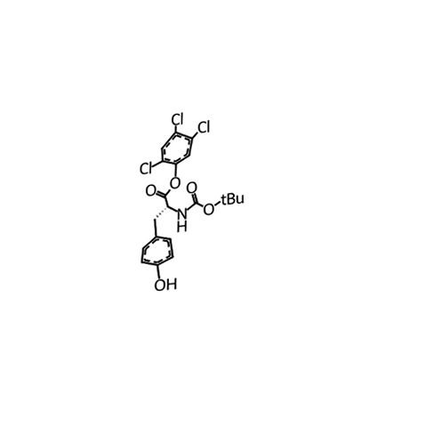 CC(C)(C)OC(=O)N[C@H](Cc1ccc(O)cc1)C(=O)Oc1cc(Cl)c(Cl)cc1Cl